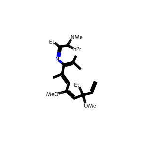 C=CC(/C=C(\C=C(/C)C(/N=C(/CC)C(CCC)NC)=C(C)C)OC)(CC)OC